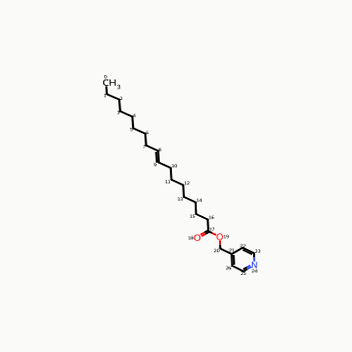 CCCCCCCCC=CCCCCCCCC(=O)OCc1ccncc1